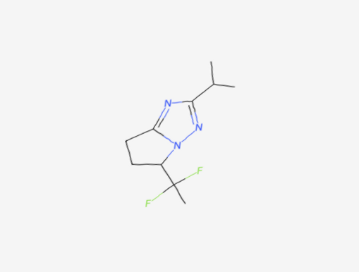 CC(C)c1nc2n(n1)C(C(C)(F)F)CC2